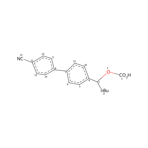 CCCCC(OC(=O)O)c1ccc(-c2ccc(C#N)cc2)cc1